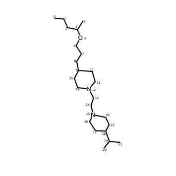 CCCC(C)OCCCC1CCN(CCN2CCC(C(C)C)CC2)CC1